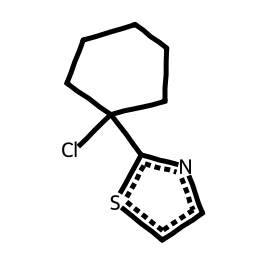 ClC1(c2nccs2)CCCCC1